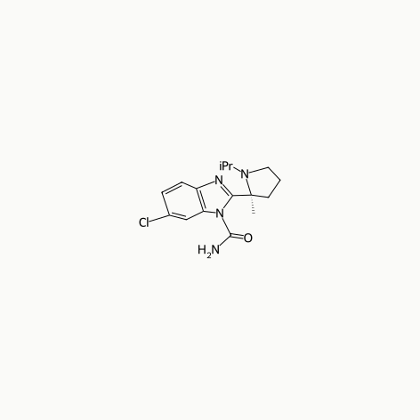 CC(C)N1CCC[C@@]1(C)c1nc2ccc(Cl)cc2n1C(N)=O